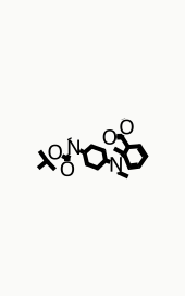 CCN(C1CCC(N(C)C(=O)OC(C)(C)C)CC1)C1(C)C=CC=CC1C(=O)OC